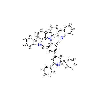 N#Cc1cc(-c2cc(-c3ccccc3)nc(-c3ccccc3)c2)cc(C#N)c1-n1c2cc(-c3ccccc3)ccc2c2ccc(-c3ccccc3)cc21